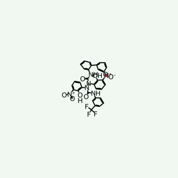 O=C(Nc1cccc(C(F)(F)F)c1)N(c1cccc([N+](=O)[O-])c1O)N(C(=O)Nc1ccccc1-c1ccccc1)c1cccc([N+](=O)[O-])c1O